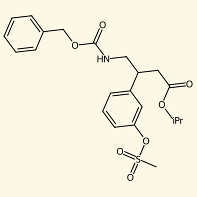 CC(C)OC(=O)CC(CNC(=O)OCc1ccccc1)c1cccc(OS(C)(=O)=O)c1